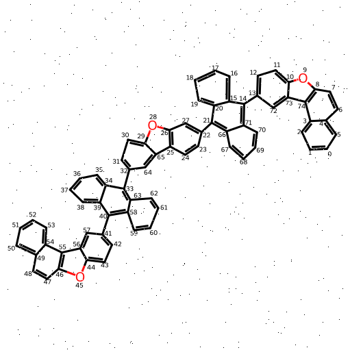 c1ccc2c(c1)ccc1oc3ccc(-c4c5ccccc5c(-c5ccc6c(c5)oc5ccc(-c7c8ccccc8c(-c8ccc9oc%10ccc%11ccccc%11c%10c9c8)c8ccccc78)cc56)c5ccccc45)cc3c12